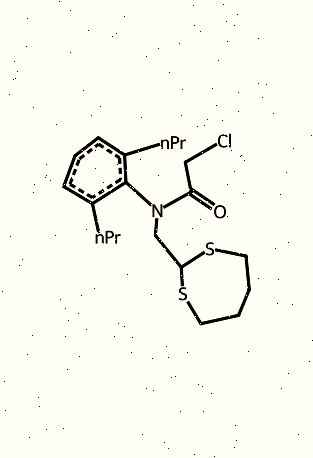 CCCc1cccc(CCC)c1N(CC1SCCCCS1)C(=O)CCl